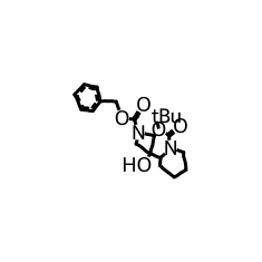 CC(C)(C)OC(=O)N1CCCCC1C1(O)CN(C(=O)OCc2ccccc2)C1